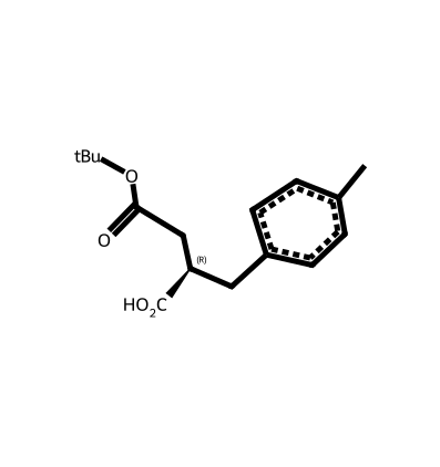 Cc1ccc(C[C@H](CC(=O)OC(C)(C)C)C(=O)O)cc1